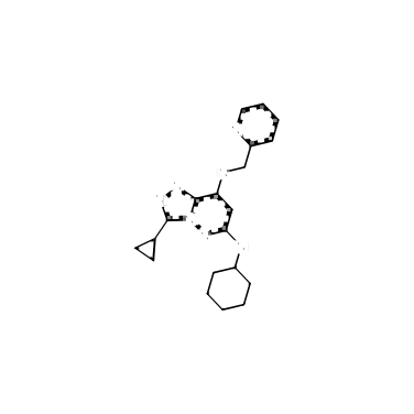 c1ccc(CNc2cc(NC3CCCCC3)nn3c(C4CC4)nnc23)nc1